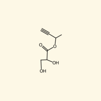 C#CC(C)OC(=O)C(O)CO